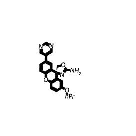 CCCOc1ccc2c(c1)[C@@]1(COC(N)=N1)c1cc(-c3cncnc3)ccc1O2